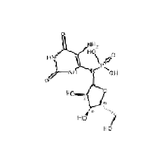 Nc1c(N(C2O[C@H](CO)[C@@H](O)[C@H]2O)P(=O)(O)O)[nH]c(=O)[nH]c1=O